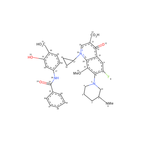 CNC1CCCN(c2c(F)cc3c(=O)c(C(=O)O)cn(C4CC4)c3c2OC)C1.O=C(Nc1ccc(C(=O)O)c(O)c1)c1ccccc1